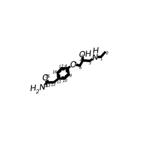 CCNCC(O)COc1ccc(CC(N)=O)cc1